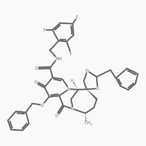 C[C@H]1CC[C@]2(COC(Cc3ccccc3)O2)[C@H]2CN1C(=O)c1c(OCc3ccccc3)c(=O)c(C(=O)NCc3c(F)cc(F)cc3F)cn12